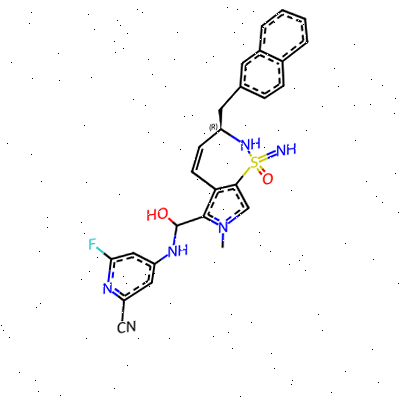 Cn1cc2c(c1C(O)Nc1cc(F)nc(C#N)c1)C=C[C@@H](Cc1ccc3ccccc3c1)NS2(=N)=O